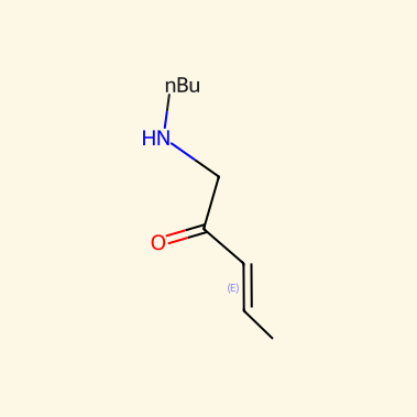 C/C=C/C(=O)CNCCCC